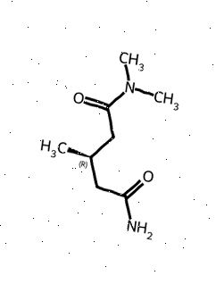 C[C@H](CC(N)=O)CC(=O)N(C)C